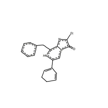 CCc1nc2c(Cc3ccccc3)[nH]c(C3=CCCC=C3)cn-2c1=O